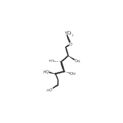 O=[N+]([O-])OC[C@@H](O)[C@@H](O)[C@H](O)[C@H](O)CO